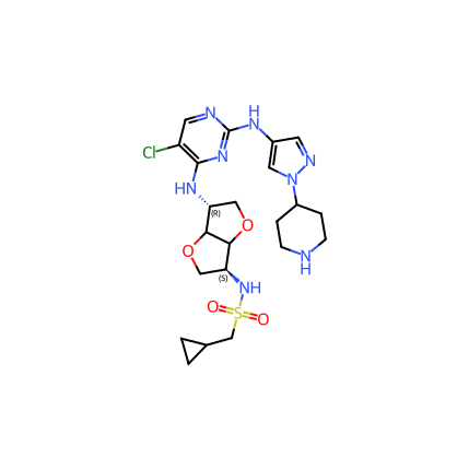 O=S(=O)(CC1CC1)N[C@H]1COC2C1OC[C@H]2Nc1nc(Nc2cnn(C3CCNCC3)c2)ncc1Cl